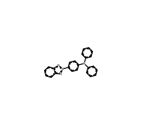 c1ccc(N(c2ccccc2)c2ccc(-n3nc4ccccc4n3)cc2)cc1